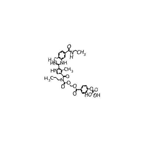 CCCN(C(=O)OCOC(=O)c1ccc(OP(=O)(O)O)cc1)C(=O)c1c[nH]c(C(=N)Nc2cc(C(=O)NCC)ccc2C)c1C